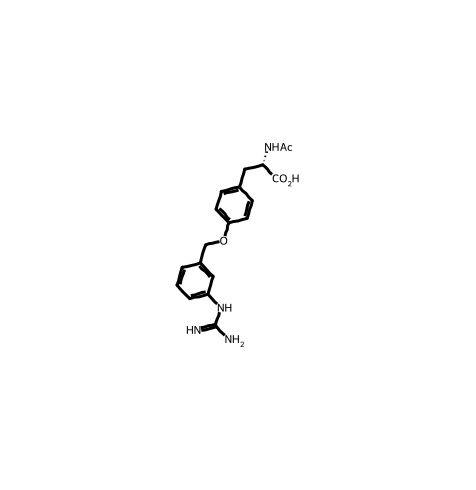 CC(=O)N[C@@H](Cc1ccc(OCc2cccc(NC(=N)N)c2)cc1)C(=O)O